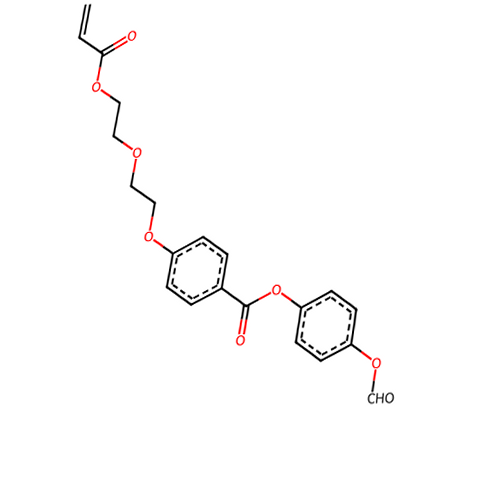 C=CC(=O)OCCOCCOc1ccc(C(=O)Oc2ccc(OC=O)cc2)cc1